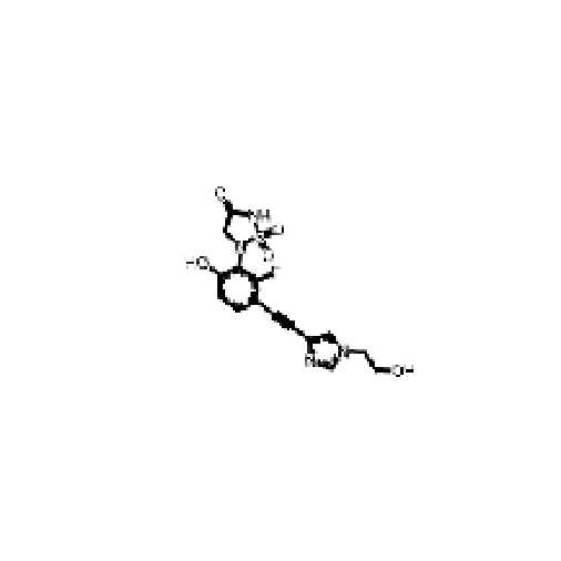 O=C1CN(c2c(O)ccc(C#Cc3cn(CCO)cn3)c2F)S(=O)(=O)N1